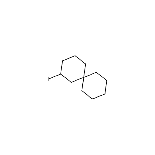 IC1CCCC2(CCCCC2)C1